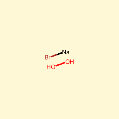 OO.[Na][Br]